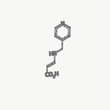 O=C(O)C=CNCc1ccncc1